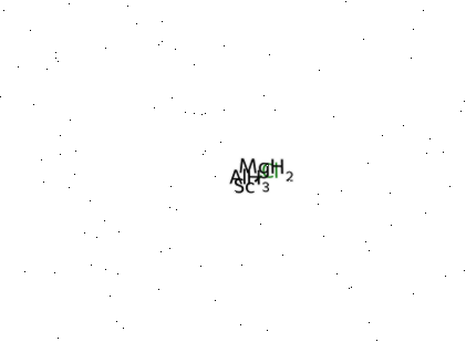 [AlH3].[Cl][Sc].[MgH2]